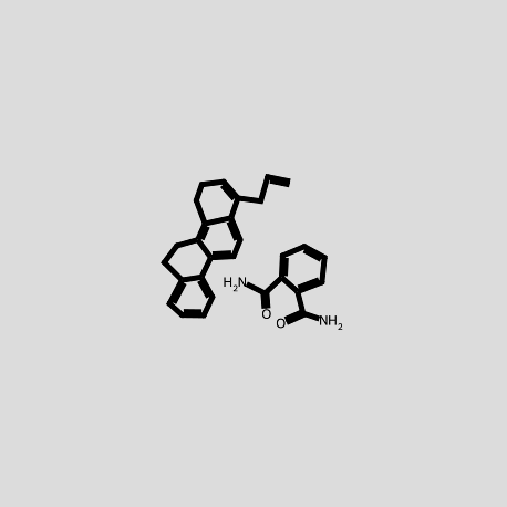 C=CCC1=CCCc2c1ccc1c2CCc2ccccc2-1.NC(=O)c1ccccc1C(N)=O